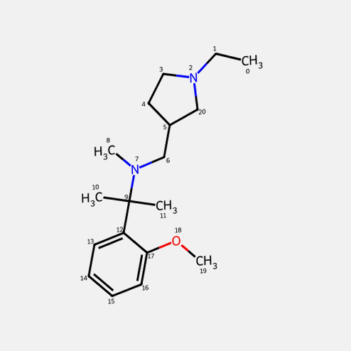 CCN1CCC(CN(C)C(C)(C)c2ccccc2OC)C1